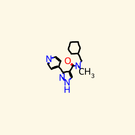 CN(CC1CCCCC1)C(=O)c1c[nH]nc1-c1ccncc1